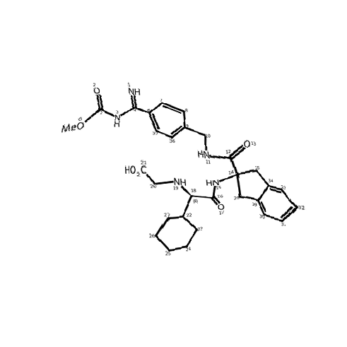 COC(=O)NC(=N)c1ccc(CNC(=O)C2(NC(=O)[C@H](NCC(=O)O)C3CCCCC3)Cc3ccccc3C2)cc1